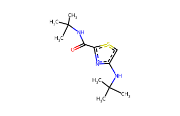 CC(C)(C)NC(=O)c1nc(NC(C)(C)C)cs1